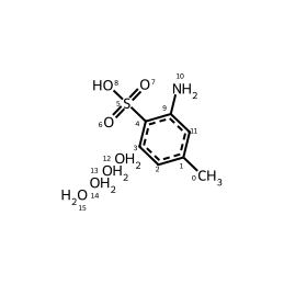 Cc1ccc(S(=O)(=O)O)c(N)c1.O.O.O.O